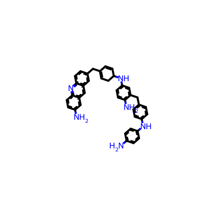 Nc1ccc(Nc2ccc(Cc3cc(NC4C=CC(Cc5ccc6nc7ccc(N)cc7cc6c5)=CC4)ccc3N)cc2)cc1